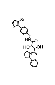 C=C(C(O)C(O)C(=O)NCc1ccc(-c2sccc2Br)cc1)N1CCC[C@@H]1c1ccccc1